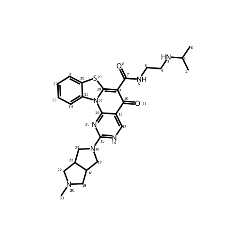 CC(C)NCCNC(=O)c1c(=O)c2cnc(N3CC4CN(C)CC4C3)nc2n2c1sc1ccccc12